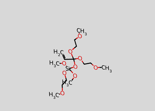 C=CC(OCCOC)(OCCOC)O[Si](OC)(OC)OCCOC